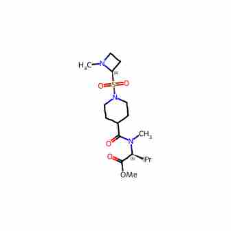 COC(=O)[C@H](C(C)C)N(C)C(=O)C1CCN(S(=O)(=O)[C@@H]2CCN2C)CC1